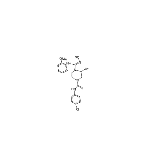 COc1ccccc1N/C(=N\C#N)N1CCN(C(=O)Nc2ccc(Cl)cc2)CC1C(C)C